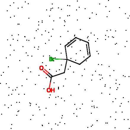 O=C(O)CC1(Br)C=CC=CC1